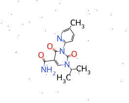 Cc1ccc(-n2c(=O)c(C(N)=O)cn(C(C)C)c2=O)nc1